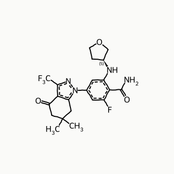 CC1(C)CC(=O)c2c(C(F)(F)F)nn(-c3cc(F)c(C(N)=O)c(N[C@H]4CCOC4)c3)c2C1